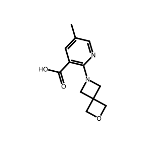 Cc1cnc(N2CC3(COC3)C2)c(C(=O)O)c1